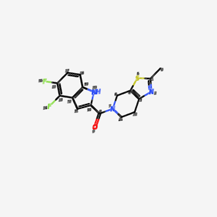 Cc1nc2c(s1)CN(C(=O)c1cc3c(F)c(F)ccc3[nH]1)CC2